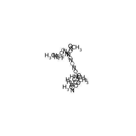 COc1cc(OC2C(C)(C)C(NC(=O)c3ccc(N4CC5(CCC(N6CCC(n7nc(N8CCCc9cc(-c%10cnn(C)c%10)c(C(F)F)cc98)c8c7CCN(C(C)=O)C8)CC6)CC5)C4)cc3)C2(C)C)ccc1C#N